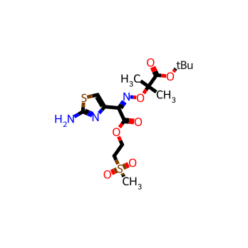 CC(C)(C)OC(=O)C(C)(C)ON=C(C(=O)OCCS(C)(=O)=O)c1csc(N)n1